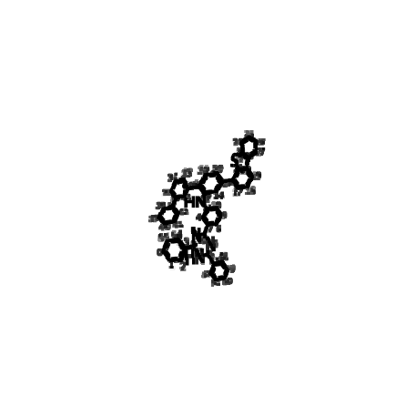 c1ccc(C2=NC(c3cccc(Nc4cc(-c5cccc6c5sc5ccccc56)ccc4-c4cccc(-c5ccccc5)c4)c3)=NC(c3ccccc3)N2)cc1